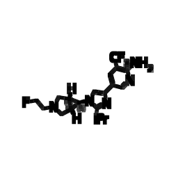 CC(C)c1nc(-c2cnc(N)c(C(F)(F)F)c2)cn1[C@H]1[C@@H]2CN(CCF)C[C@@H]21